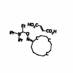 CCC(ON=C1CCCCCCCCCCC1)N(C(C)C)C(C)C.O=C(O)/C=C/C(=O)O